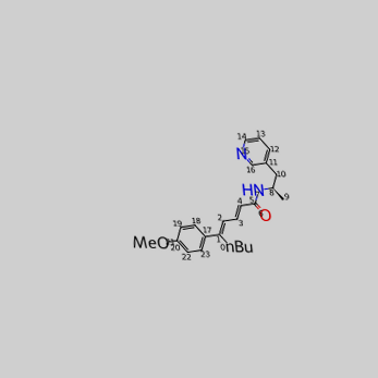 CCCC/C(=C\C=C\C(=O)N[C@H](C)Cc1cccnc1)c1ccc(OC)cc1